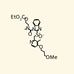 CCOC(=O)OCCN(C)C(=O)n1c([S+]([O-])Cc2nccc(OCCCOC)c2C)nc2ccccc21